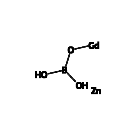 OB(O)[O][Gd].[Zn]